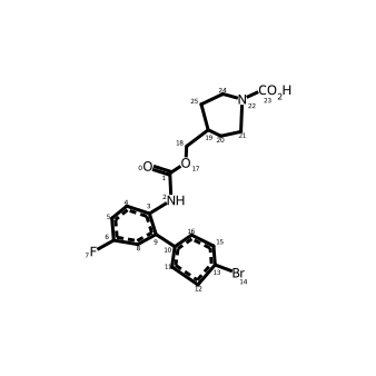 O=C(Nc1ccc(F)cc1-c1ccc(Br)cc1)OCC1CCN(C(=O)O)CC1